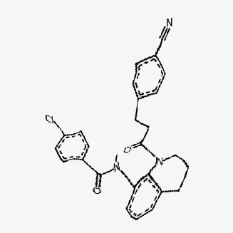 CN(C(=O)c1ccc(Cl)cc1)c1cccc2c1N(C(=O)CCc1ccc(C#N)cc1)CCC2